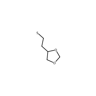 [S]CCC1COCO1